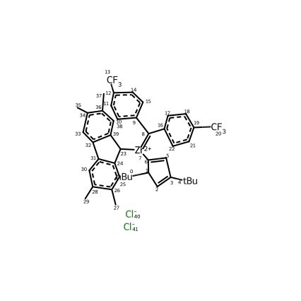 CCCCC1C=C(C(C)(C)C)C=[C]1[Zr+2](=[C](c1ccc(C(F)(F)F)cc1)c1ccc(C(F)(F)F)cc1)[CH]1c2cc(C)c(C)cc2-c2cc(C)c(C)cc21.[Cl-].[Cl-]